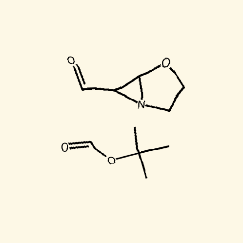 CC(C)(C)OC=O.O=CC1C2OCCN12